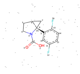 O=C(O)N1CCC2C[C@@]21c1cc(F)ccc1F